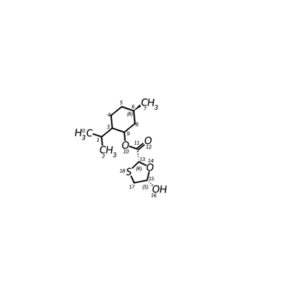 CC(C)C1CC[C@@H](C)CC1OC(=O)[C@@H]1O[C@H](O)CS1